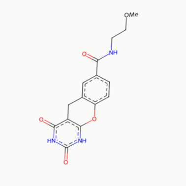 COCCNC(=O)c1ccc2c(c1)Cc1c([nH]c(=O)[nH]c1=O)O2